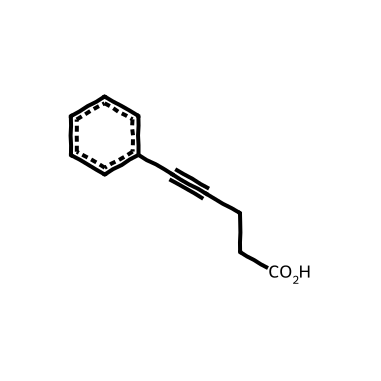 O=C(O)CCC#Cc1ccccc1